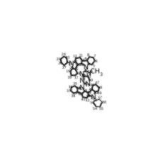 Cn1c(-n2c3ccccc3c3ccc4c(c5ccccc5n4-c4ccccc4)c32)nc2nc(-n3c4ccccc4c4ccc5c(c6ccccc6n5C5C=CC=CC5)c43)ncc21